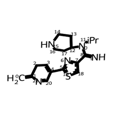 C=C1CC=C(c2nc(C(=N)N(C(C)C)C3CCNCC3)cs2)C=N1